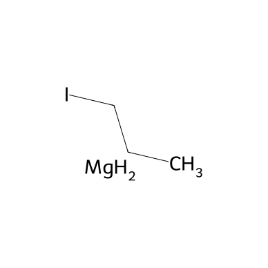 CCCI.[MgH2]